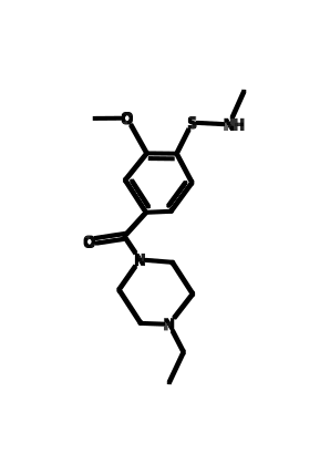 CCN1CCN(C(=O)c2ccc(SNC)c(OC)c2)CC1